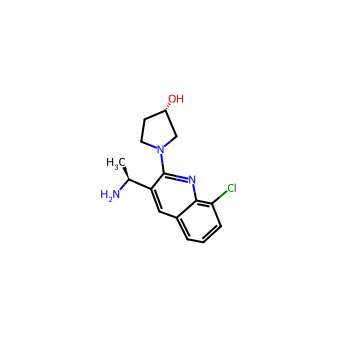 C[C@H](N)c1cc2cccc(Cl)c2nc1N1CC[C@H](O)C1